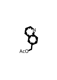 CC(=O)OCc1ccc2ncccc2c1